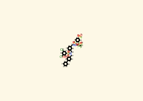 O=S(=O)(F)c1ccc(S(=O)(=O)NCc2cccc(CN(Cc3ccc(-c4ccccc4)cc3)S(=O)(=O)c3cc(Cl)cc(Cl)c3O)c2)c(S(=O)(=O)C(F)(F)F)c1